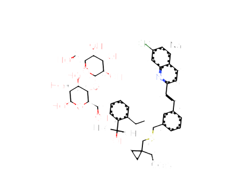 CC(C)(O)c1ccccc1CC[C@@H](SCC1(CC(=O)[O-])CC1)c1cccc(/C=C/c2ccc3ccc(Cl)cc3n2)c1.OC[C@H]1O[C@@H](O[C@H]2[C@H](O)[C@@H](O)[C@H](O)O[C@@H]2CO)[C@H](O)[C@@H](O)[C@H]1O.[Na+]